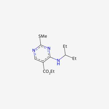 CCOC(=O)c1cnc(SC)nc1NC(CC)CC